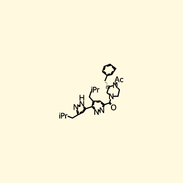 CC(=O)N1CCN(C(=O)c2cc(CC(C)C)c(-c3cc(CC(C)C)n[nH]3)nn2)C[C@@H]1Cc1ccccc1